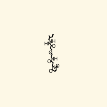 C=CC(C)CNNC(=O)CCOCCNC(=O)CCN1C(=O)C=CC1=O